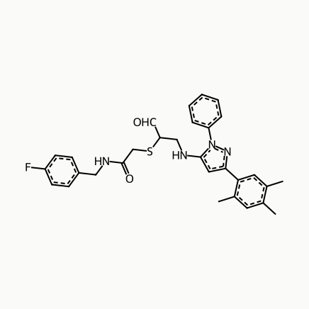 Cc1cc(C)c(-c2cc(NCC(C=O)SCC(=O)NCc3ccc(F)cc3)n(-c3ccccc3)n2)cc1C